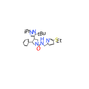 CCSc1ccc(CNC(=O)N2CC(c3ccccc3)C(c3cn(C(C)C)nc3C(C)(C)C)C2)nc1